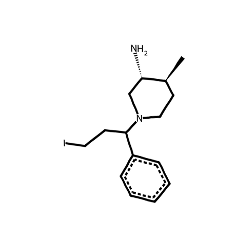 C[C@H]1CCN(C(CCI)c2ccccc2)C[C@@H]1N